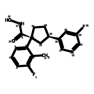 Cc1c(F)cccc1[C@@]1(C(=O)NO)CC[C@@H](c2cncc(F)c2)C1